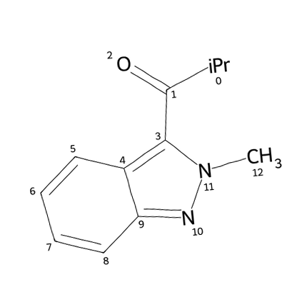 CC(C)C(=O)c1c2ccccc2nn1C